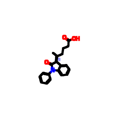 C/C(CCCC(=O)O)=C1\C(=O)N(c2ccccc2)c2ccccc21